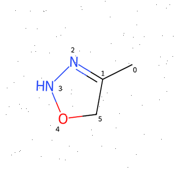 CC1=NNOC1